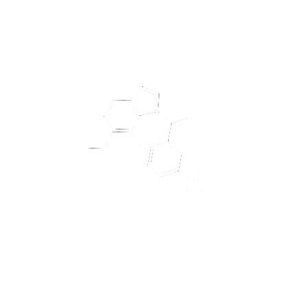 Cc1c(CO)ccc2ccn(C(C)c3cccc(S(C)(=O)=O)c3)c12